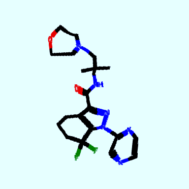 CC(C)(CN1CCOCC1)NC(=O)c1nn(-c2cnccn2)c2c1CCCC2(F)F